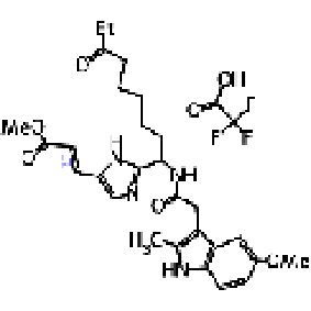 CCC(=O)CCCCCC(NC(=O)Cc1c(C)[nH]c2ccc(OC)cc12)c1ncc(/C=C/C(=O)OC)[nH]1.O=C(O)C(F)(F)F